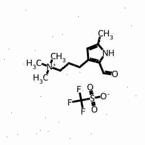 Cc1cc(CCC[N+](C)(C)C)c(C=O)[nH]1.O=S(=O)([O-])C(F)(F)F